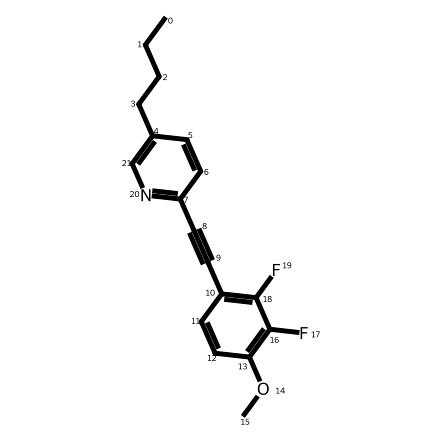 CCCCc1ccc(C#Cc2ccc(OC)c(F)c2F)nc1